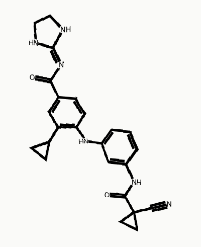 N#CC1(C(=O)Nc2cccc(Nc3ccc(C(=O)N=C4NCCN4)cc3C3CC3)c2)CC1